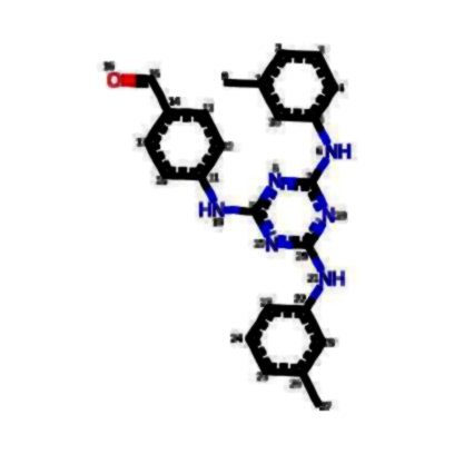 Cc1cccc(Nc2nc(Nc3ccc(C=O)cc3)nc(Nc3cccc(C)c3)n2)c1